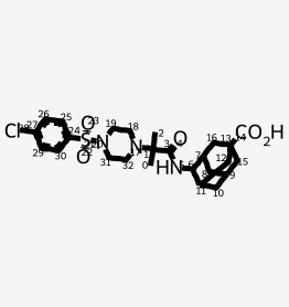 CC(C)(C(=O)NC1C2CC3CC1CC(C(=O)O)(C3)C2)N1CCN(S(=O)(=O)c2ccc(Cl)cc2)CC1